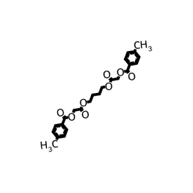 Cc1ccc(C(=O)OCC(=O)OCCCCOC(=O)COC(=O)c2ccc(C)cc2)cc1